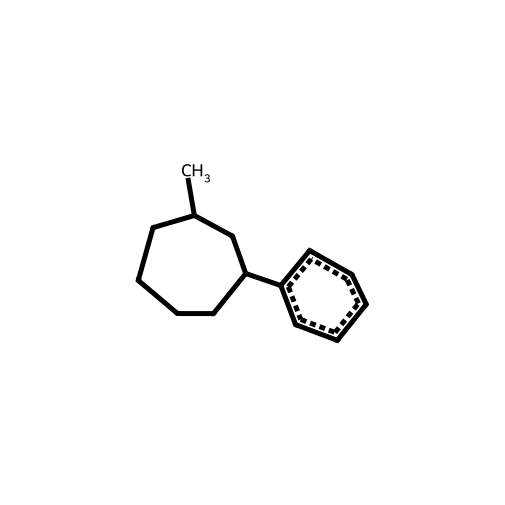 CC1CCCCC(c2ccccc2)C1